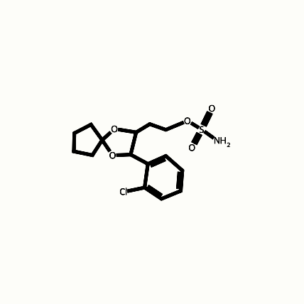 NS(=O)(=O)OCCC1OC2(CCCC2)OC1c1ccccc1Cl